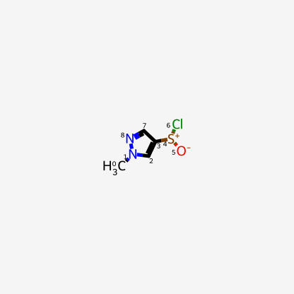 Cn1cc([S+]([O-])Cl)cn1